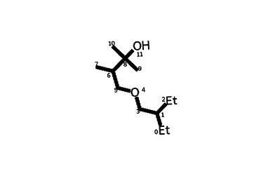 CCC(CC)COCC(C)C(C)(C)O